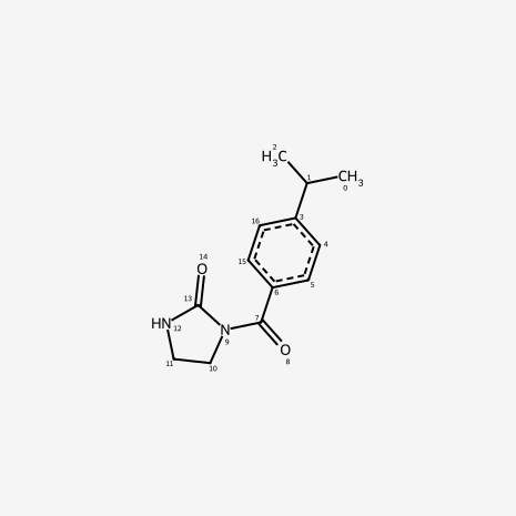 CC(C)c1ccc(C(=O)N2CCNC2=O)cc1